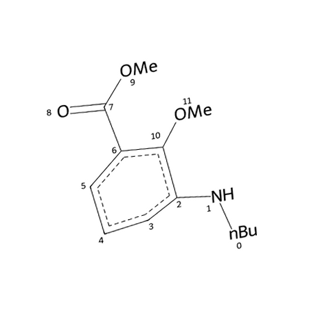 CCCCNc1cccc(C(=O)OC)c1OC